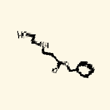 O=C(CCNCCO)OCc1ccccc1